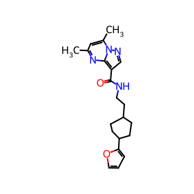 Cc1cc(C)n2ncc(C(=O)NCCC3CCC(c4ccco4)CC3)c2n1